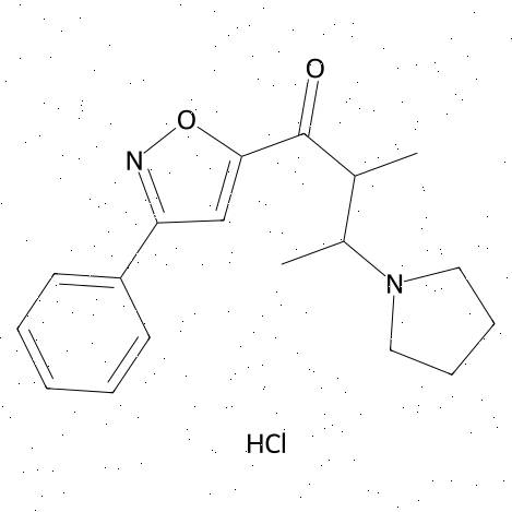 CC(C(=O)c1cc(-c2ccccc2)no1)C(C)N1CCCC1.Cl